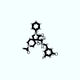 CC(=O)N1CCC2(CC1)CN(c1ccccc1)C(=O)[C@@]2(O)C(=O)NCc1cc(F)cc(Cl)c1